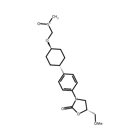 COC[C@H]1CN(c2ccc([C@H]3CC[C@H](OC[S+](C)[O-])CC3)cc2)C(=O)O1